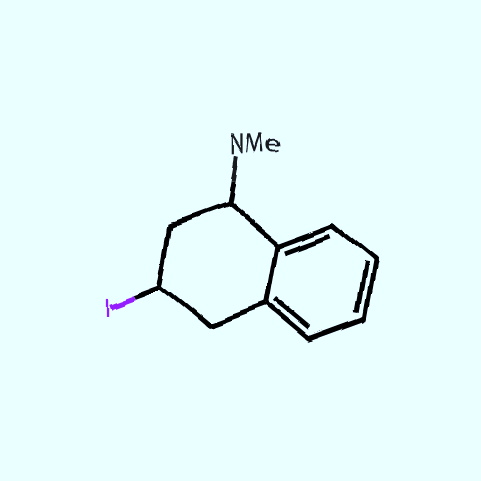 CNC1CC(I)Cc2ccccc21